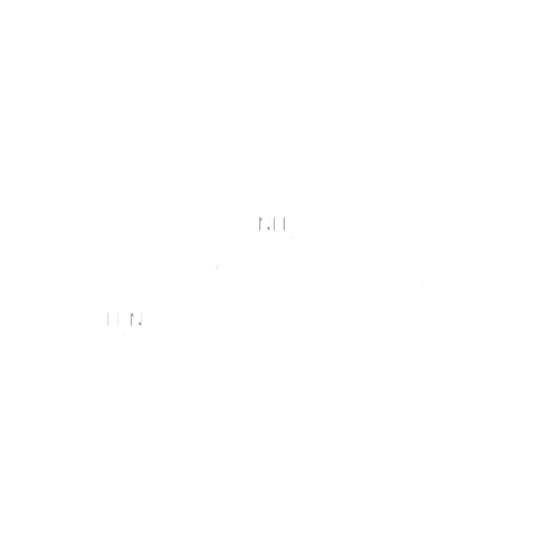 CC1CCCCC1C1(N)CCCC(N)C1